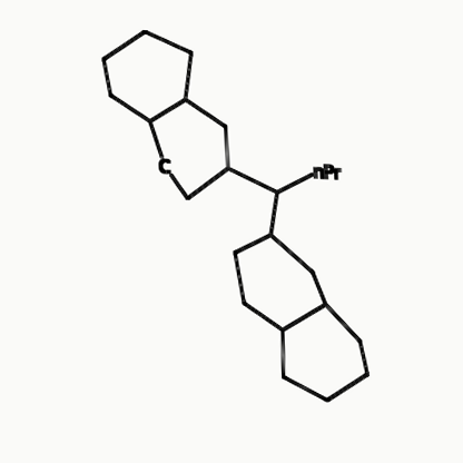 CCCC(C1CCC2CCCCC2C1)C1CCC2CCCCC2C1